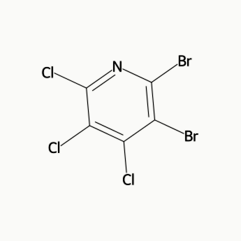 Clc1nc(Br)c(Br)c(Cl)c1Cl